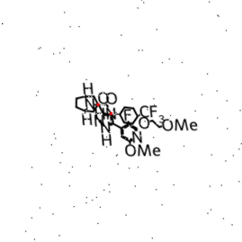 COCCO[C@]1(C(F)(F)F)CC[C@@H](NC(=O)[C@@H]2C[C@H]3CC[C@@H](C2)N3C(=O)c2cc(-c3cc(OC)ncc3F)[nH]n2)CC1